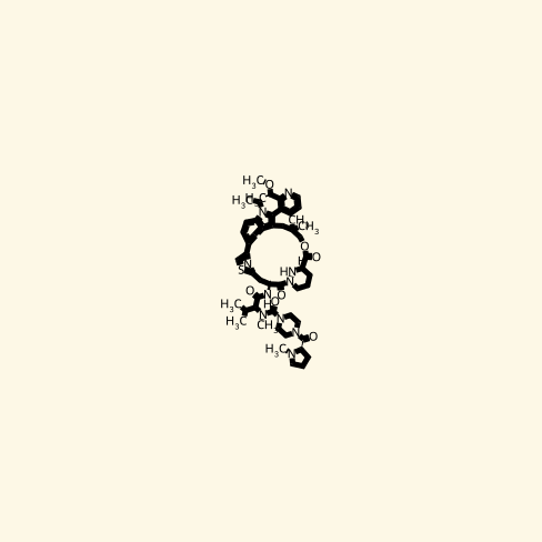 CCn1c(-c2cccnc2[C@H](C)OC)c2c3cc(ccc31)-c1csc(n1)C[C@H](NC(=O)C(C(C)C)N(C)C(=O)N1CCN(C(=O)[C@@H]3CCCN3C)CC1)C(=O)N1CCC[C@H](N1)C(=O)OCC(C)(C)C2